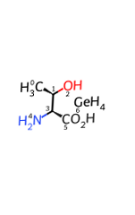 C[C@@H](O)[C@H](N)C(=O)O.[GeH4]